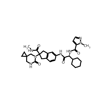 CNC(=O)C1(N2CC3(CC3)CNC2=O)Cc2ccc(NC(=O)[C@@H](NC(=O)c3ccnn3C)C3CCCCC3)cc2C1